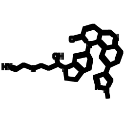 Cn1cc(-c2ccc3ncc4ccc(=O)n(-c5ccc6c(c5)N(C(O)CCSCC=N)CC6)c4c3c2)cn1